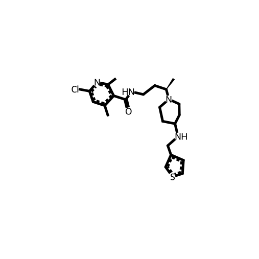 Cc1cc(Cl)nc(C)c1C(=O)NCC[C@@H](C)N1CCC(NCc2ccsc2)CC1